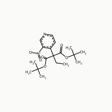 CCC(C(=O)OC(C)(C)C)(C(=O)OC(C)(C)C)c1ccncc1[N+](=O)[O-]